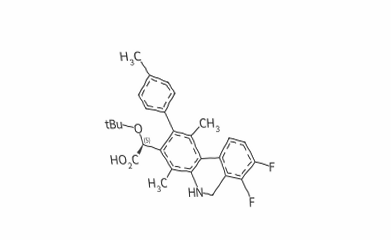 Cc1ccc(-c2c(C)c3c(c(C)c2[C@H](OC(C)(C)C)C(=O)O)NCc2c-3ccc(F)c2F)cc1